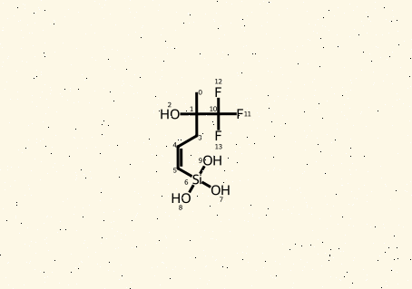 CC(O)(C/C=C\[Si](O)(O)O)C(F)(F)F